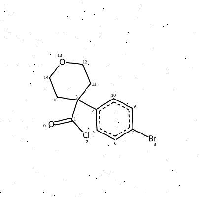 O=C(Cl)C1(c2ccc(Br)cc2)CCOCC1